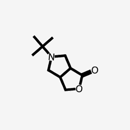 CC(C)(C)N1CC2COC(=O)C2C1